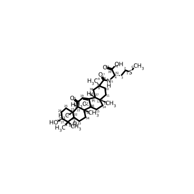 CSCC[C@H](NC(=O)[C@@]1(C)CC[C@]2(C)CC[C@]3(C)C(=CC(=O)[C@@H]4[C@@]5(C)CC[C@H](O)C(C)(C)[C@@H]5CC[C@]43C)[C@@H]2C1)C(=O)O